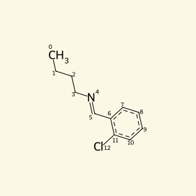 CCCCN=Cc1ccccc1Cl